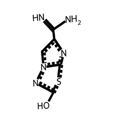 N=C(N)c1cn2nc(O)sc2n1